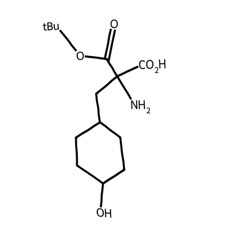 CC(C)(C)OC(=O)C(N)(CC1CCC(O)CC1)C(=O)O